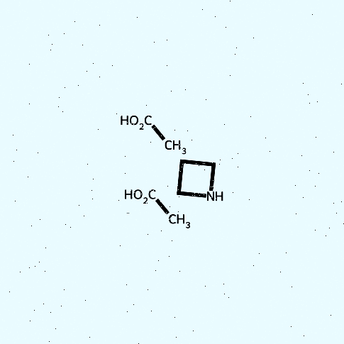 C1CNC1.CC(=O)O.CC(=O)O